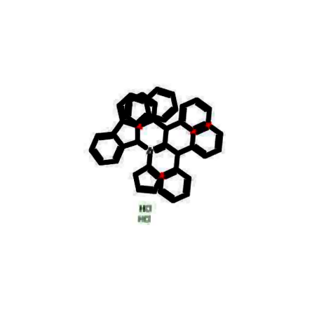 C1=CC[C]([Zr](=[C](C(c2ccccc2)c2ccccc2)C(c2ccccc2)c2ccccc2)[CH]2c3ccccc3-c3ccc4ccccc4c32)=C1.Cl.Cl